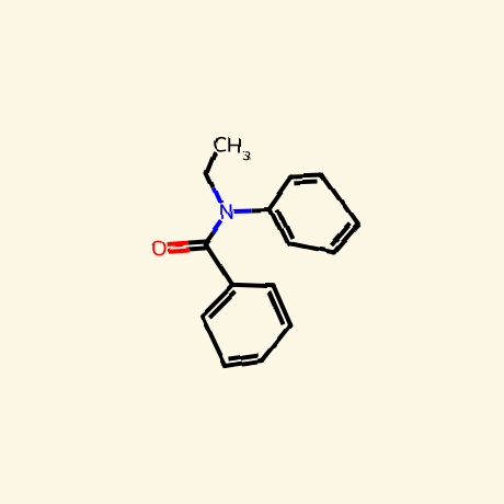 CCN(C(=O)c1ccccc1)c1ccccc1